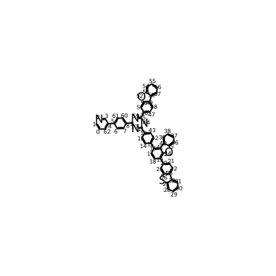 c1cncc(-c2ccc(-c3nc(-c4ccc(-c5ccc(-c6ccc7c(c6)sc6ccccc67)c6oc7ccccc7c56)cc4)nc(-c4ccc5c(c4)oc4ccccc45)n3)cc2)c1